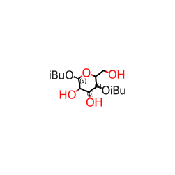 CC(C)CO[C@H]1OC(CO)[C@@H](OCC(C)C)[C@@H](O)C1O